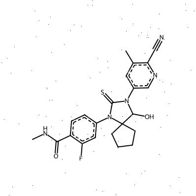 CNC(=O)c1ccc(N2C(=S)N(c3cnc(C#N)c(C)c3)C(O)C23CCCC3)cc1F